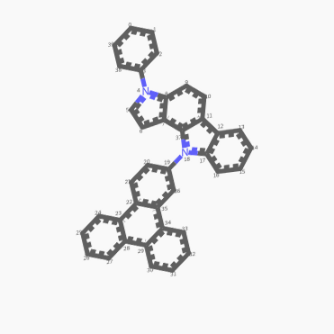 c1ccc(-n2ccc3c2ccc2c4ccccc4n(-c4ccc5c6ccccc6c6ccccc6c5c4)c23)cc1